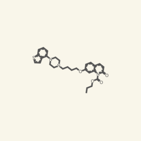 CCCOC(=O)n1c(=O)ccc2ccc(OCCCCN3CCN(c4cccc5sccc45)CC3)cc21